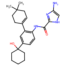 CC1(C)CC=C(c2cc(C3(O)CCCCC3)ccc2NC(=O)c2nc(N)c[nH]2)CC1